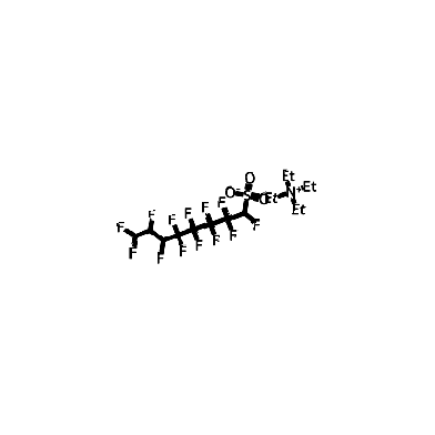 CC[N+](CC)(CC)CC.O=S(=O)([O-])C(F)C(F)(F)C(F)(F)C(F)(F)C(F)(F)C(F)C(F)C(F)F